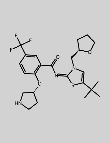 CC(C)(C)c1cn(C[C@H]2CCCO2)c(=NC(=O)c2cc(C(F)(F)F)ccc2O[C@@H]2CCNC2)s1